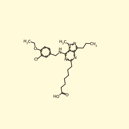 CCCc1nn(C)c2c(NCc3ccc(OCC)c(Cl)c3)nc(CCCCCCC(=O)O)nc12